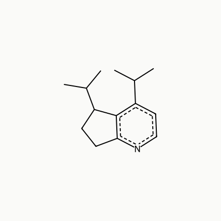 CC(C)c1ccnc2c1C(C(C)C)CC2